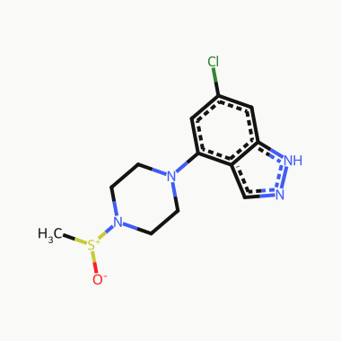 C[S+]([O-])N1CCN(c2cc(Cl)cc3[nH]ncc23)CC1